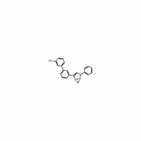 N#Cc1cccc(-c2cccc(C3=CC(c4ccccc4)N4CN34)c2)c1